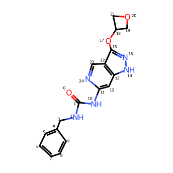 O=C(NCc1ccccc1)Nc1cc2[nH]nc(OC3COC3)c2cn1